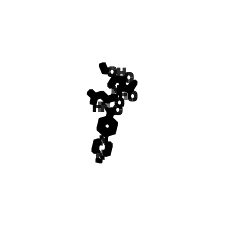 CCO[C@H]1CN(C(=O)C(CC(C)C)NC(=O)c2ccc(N3CCN(C)CC3)cc2)[C@@H]2C(=O)CO[C@H]12